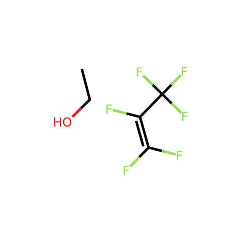 CCO.FC(F)=C(F)C(F)(F)F